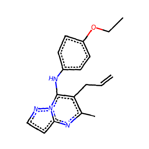 C=CCc1c(C)nc2ccnn2c1Nc1ccc(OCC)cc1